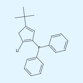 [Li][C]1=C(P(c2ccccc2)c2ccccc2)C=C(C(C)(C)C)C1